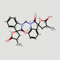 CC1CC2(OC1=O)C(=O)N(CN1C(=O)C3(CC(C)C(=O)O3)c3ccccc31)c1ccccc12